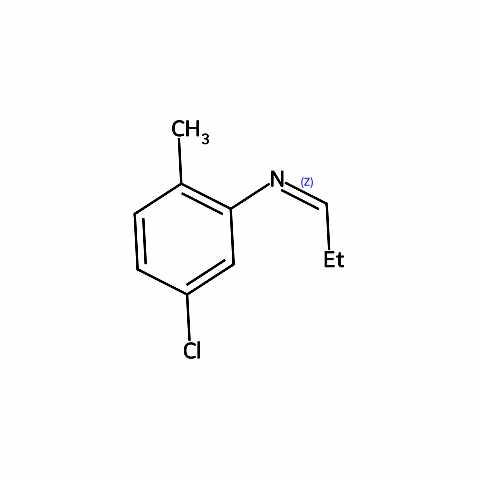 CC/C=N\c1cc(Cl)ccc1C